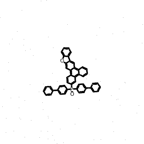 O=P(c1ccc(-c2ccccc2)cc1)(c1ccc(-c2ccccc2)cc1)c1ccc2c(c1)c1ccccc1c1cc3c(cc21)oc1ccccc13